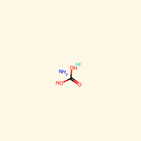 F.N.O=C(O)O